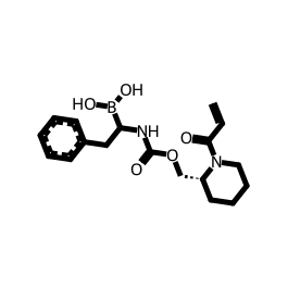 C=CC(=O)N1CCCC[C@@H]1COC(=O)NC(Cc1ccccc1)B(O)O